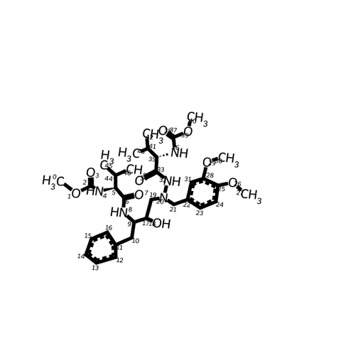 COC(=O)N[C@H](C(=O)NC(Cc1ccccc1)C(O)CN(Cc1ccc(OC)c(OC)c1)NC(=O)[C@@H](NC(=O)OC)C(C)C)C(C)C